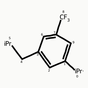 C[C](C)c1cc(CC(C)C)cc(C(F)(F)F)c1